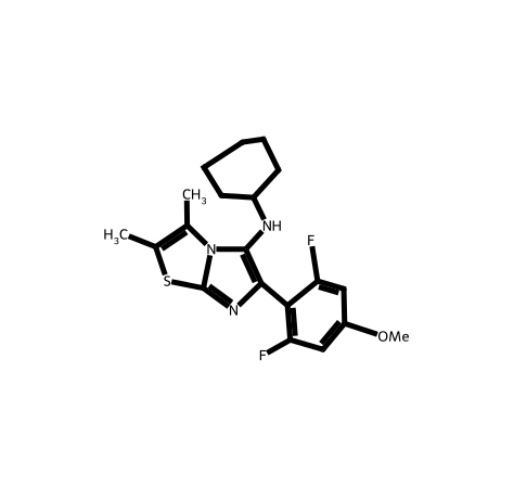 COc1cc(F)c(-c2nc3sc(C)c(C)n3c2NC2CCCCC2)c(F)c1